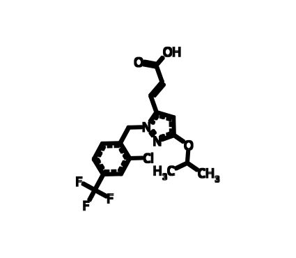 CC(C)Oc1cc(C=CC(=O)O)n(Cc2ccc(C(F)(F)F)cc2Cl)n1